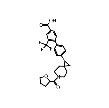 O=C(O)c1ccc(-c2ccc([C@H]3CC34CCN(C(=O)C3CCCO3)CC4)cc2)c(C(F)(F)F)c1